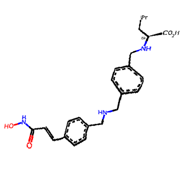 CC(C)C[C@H](NCc1ccc(CNCc2ccc(C=CC(=O)NO)cc2)cc1)C(=O)O